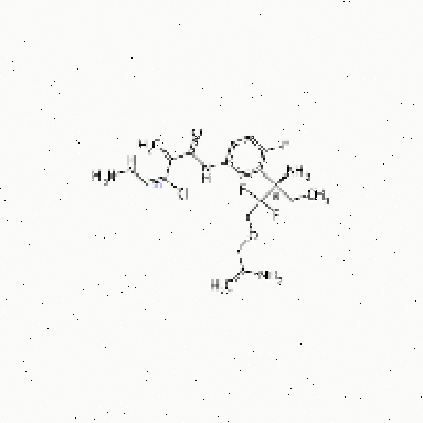 C=C(N)COCC(F)(F)[C@@](N)(CC)c1cc(NC(=O)C(=C)/C(Cl)=C\NN)ccc1F